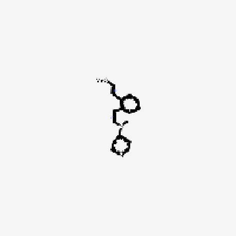 CO/C=C/c1ccccc1/C=C\N(C)c1ccncc1